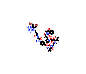 CCC(C)C(C(CC(=O)N1CCCC1C(OC)[C@@H](C)C(=O)NC(C)C(O)c1ccccc1)OC)N(C)C(=O)CNC(=O)C(C(C)C)N(C)C(=O)OCc1ccc(NC(=O)CNC(=O)CCCN(N)/C(CBr)=C(\N)CBr)cc1